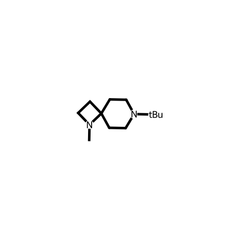 CN1CCC12CCN(C(C)(C)C)CC2